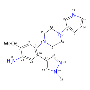 COc1cc(N2CCN(c3cccnc3)CC2)c(-c2cnn(C)c2)cc1N